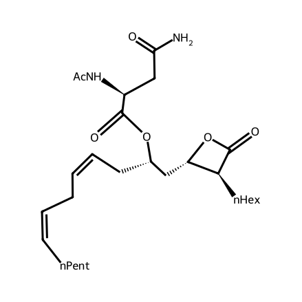 CCCCC/C=C\C/C=C\C[C@@H](C[C@@H]1OC(=O)[C@H]1CCCCCC)OC(=O)[C@H](CC(N)=O)NC(C)=O